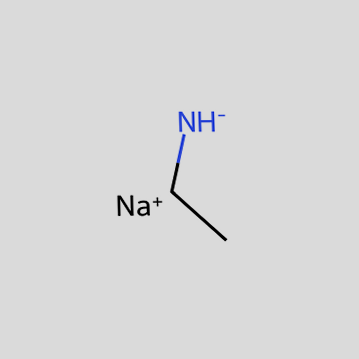 CC[NH-].[Na+]